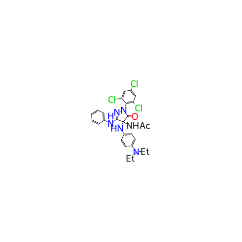 CCN(CC)c1ccc(NC2(NC(C)=O)C(=O)N(c3c(Cl)cc(Cl)cc3Cl)N=C2Nc2ccccc2)cc1